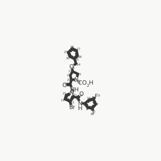 O=C(Nc1cc(F)cc(F)c1)c1c(Br)ccn1NC(=O)C1CC(OCc2ccccc2)CN1C(=O)O